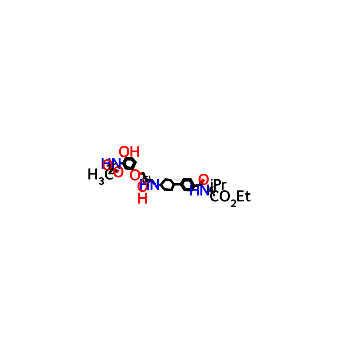 CCOC(=O)[C@@H](NC(=O)c1ccc(C2CCC(NC[C@H](O)COc3ccc(O)c(NS(C)(=O)=O)c3)CC2)cc1)C(C)C